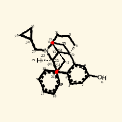 Oc1ccc2c(c1)[C@@]13CCCC[C@@]1(Cc1ccccc1)[C@@H](C2)N(CC1CC1)CC3